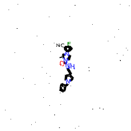 C[C@H]1CN(c2ccc(F)c(C#N)c2)CCN1C(=O)NCCC1CCN(Cc2ccccc2)CC1